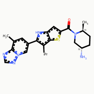 Cc1cc(-c2[nH]c3cc(C(=O)N4C[C@@H](N)CC[C@@H]4C)sc3c2C(C)C)cn2ncnc12